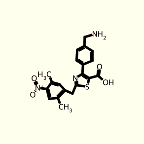 Cc1cc([N+](=O)[O-])c(C)cc1Cc1nc(-c2ccc(CN)cc2)c(C(=O)O)s1